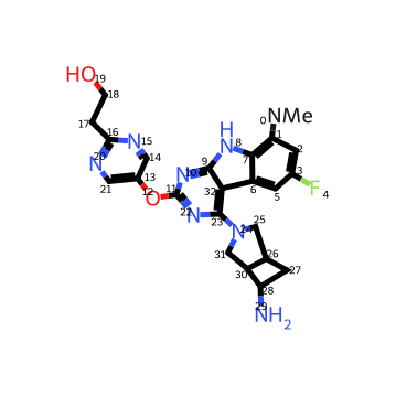 CNc1cc(F)cc2c1[nH]c1nc(Oc3cnc(CCO)nc3)nc(N3CC4CC(N)C4C3)c12